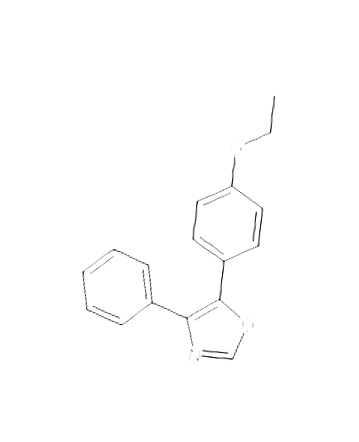 CCOc1ccc(-c2o[c]nc2-c2ccccc2)cc1